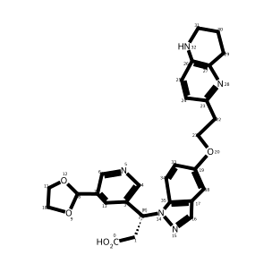 O=C(O)C[C@H](c1cncc(C2OCCO2)c1)n1ncc2cc(OCCc3ccc4c(n3)CCCN4)ccc21